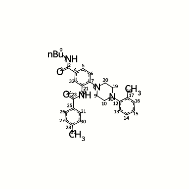 CCCCNC(=O)c1ccc(N2CCN(c3ccccc3C)CC2)c(NC(=O)c2ccc(C)cc2)c1